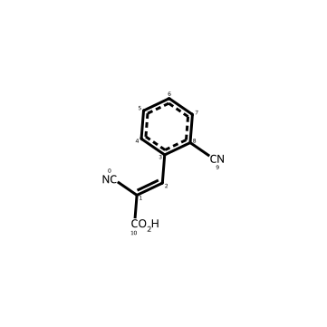 N#C/C(=C\c1ccccc1C#N)C(=O)O